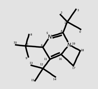 CC(C)(C)C1=NC(C(C)(C)C)C(C(C)(C)C)=C2CCN12